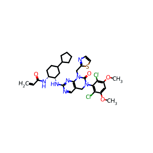 C=CC(=O)N[C@@H]1CCC(C2CCCC2)C[C@@H]1Nc1ncc2c(n1)N(Cc1nccs1)C(=O)N(c1c(Cl)c(OC)cc(OC)c1Cl)C2